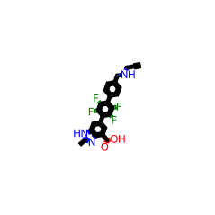 C#CCNCc1ccc(-c2c(F)c(F)c(-c3cc(C(=O)O)c4nc(C)[nH]c4c3)c(F)c2F)cc1